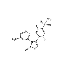 Cc1cncc(-n2c(-c3cc(F)c(S(N)(=O)=O)cc3F)coc2=O)c1